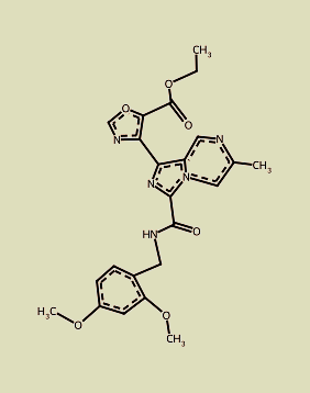 CCOC(=O)c1ocnc1-c1nc(C(=O)NCc2ccc(OC)cc2OC)n2cc(C)ncc12